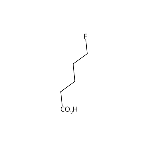 O=C(O)CCCCF